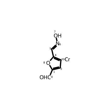 O=Cc1ccc(C=NO)o1.[Cr]